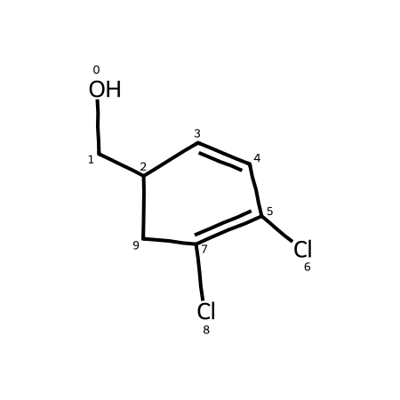 OCC1C=CC(Cl)=C(Cl)C1